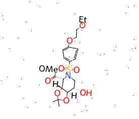 CCOCCOc1ccc(S(=O)(=O)N2C[C@H](O)[C@H]3OC(C)(C)O[C@@H]3[C@@H]2C(=O)OC)cc1